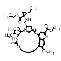 C=C[C@@H]1C[C@]1(NC[C@@H]1C[C@@H]2CN1C(=O)[C@H](C(C)C)NC(=O)OCCCCCc1cc3c(cc(C(=O)OC)nc3cc1OC)O2)C(=O)OCC